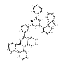 c1ccc(-c2nc(-c3cccc(-c4cc5c6ccccc6c6ccccc6c5c5ccccc45)c3)nc(-c3cccc4oc5ccccc5c34)n2)cc1